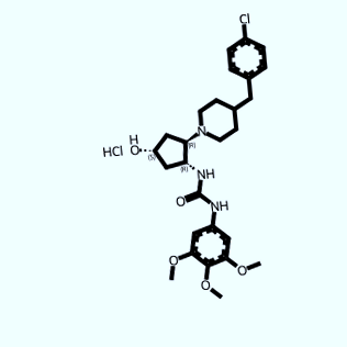 COc1cc(NC(=O)N[C@@H]2C[C@H](O)C[C@H]2N2CCC(Cc3ccc(Cl)cc3)CC2)cc(OC)c1OC.Cl